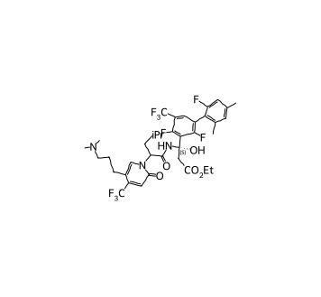 CCOC(=O)C[C@@](O)(NC(=O)C(CC(C)C)n1cc(CCCN(C)C)c(C(F)(F)F)cc1=O)c1c(F)c(-c2c(C)cc(C)cc2F)cc(C(F)(F)F)c1F